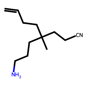 C=CCCC(C)(CCC#N)CCCN